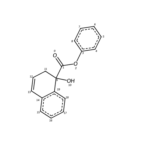 O=C(Oc1ccccc1)C1(O)CC=Cc2ccccc21